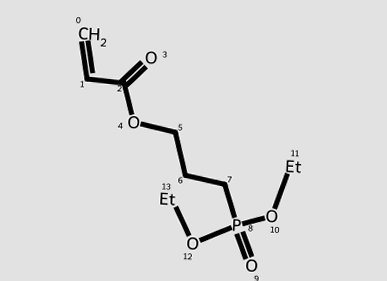 C=CC(=O)OCCCP(=O)(OCC)OCC